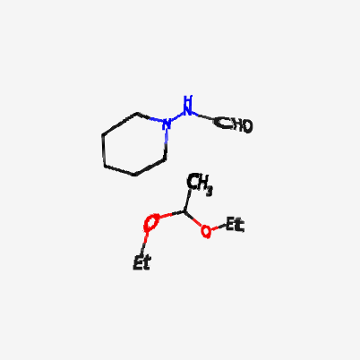 CCOC(C)OCC.O=CNN1CCCCC1